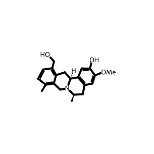 COc1cc2c(cc1O)[C@@H]1Cc3c(CO)ccc(C)c3CN1[C@H](C)C2